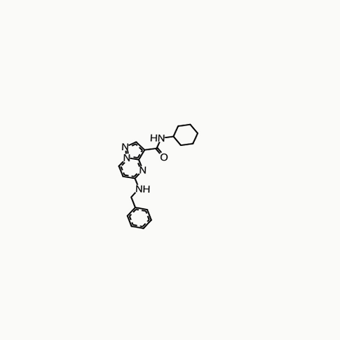 O=C(NC1CCCCC1)c1cnn2ccc(NCc3ccccc3)nc12